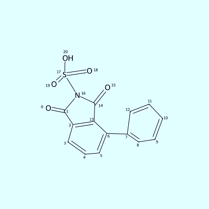 O=C1c2cccc(-c3ccccc3)c2C(=O)N1S(=O)(=O)O